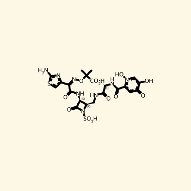 C[C@H](NC(=O)c1cc(=O)c(O)cn1O)C(=O)NC[C@@H]1[C@H](NC(=O)C(=NOC(C)(C)C(=O)O)c2csc(N)n2)C(=O)N1S(=O)(=O)O